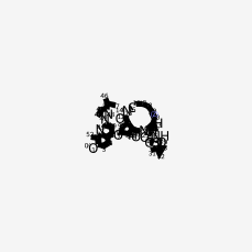 COc1ccc2c(O[C@H]3CC4C(=O)N(C)CCCC/C=C\[C@@H]5C[C@@]5(C(=O)NS(=O)(=O)C5(C)CC5)NC(=O)[C@@H]4C3)cc(-n3ccc(C(C)C)n3)nc2c1C